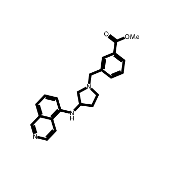 COC(=O)c1cccc(CN2CCC(Nc3cccc4cnccc34)C2)c1